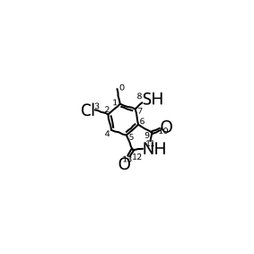 Cc1c(Cl)cc2c(c1S)C(=O)NC2=O